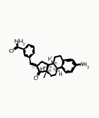 C[C@]12CC[C@@H]3c4ccc(N)cc4CC[C@H]3[C@@H]1C/C(=C\c1cccc(C(N)=O)c1)C2=O